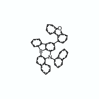 c1ccc2c(c1)B1c3ccc4ccccc4c3N(c3cccc4ccccc34)c3cc(-c4cccc5oc6ccccc6c45)cc-2c31